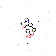 C=C(C(=O)c1ccc(C(=O)O)cc1)c1cc(-c2cccs2)ccc1N1CCCC1